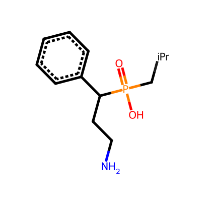 CC(C)CP(=O)(O)C(CCN)c1ccccc1